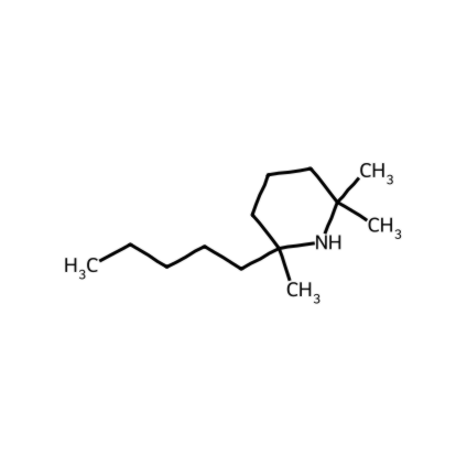 CCCCCC1(C)CCCC(C)(C)N1